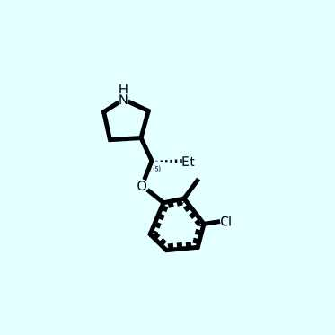 CC[C@H](Oc1cccc(Cl)c1C)C1CCNC1